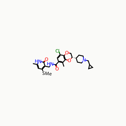 CSc1cc(C)[nH]c(=O)c1CNC(=O)c1cc(Cl)c2c(c1C)O[C@@H](C1CCN(CC3CC3)CC1)CO2